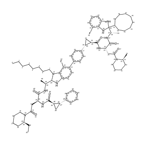 CCCCCCCCN1c2c(ccc(-c3ccc([C@@H]4C[C@H]4C(=O)N[C@@H](CC(=O)N4CCCC[C@@H]4C)C(=O)N[C@@H](C)C4(C5CCCCCCCC5)Nc5cccc(F)c5N4)cc3)c2F)NC1[C@H](C)NC(=O)[C@H](CC(=O)N1CCCC[C@@H]1CC)NC(=O)[C@@H]1C[C@H]1c1ccccc1